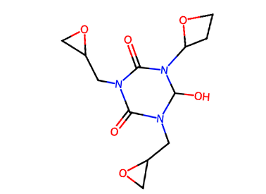 O=C1N(CC2CO2)C(=O)N(C2CCO2)C(O)N1CC1CO1